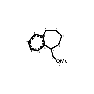 COCC1CCCCc2ccccc21